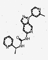 Cc1cc(-n2ncc3cc(NC(=O)N[C@@H](C)c4ccccn4)ncc32)ccn1